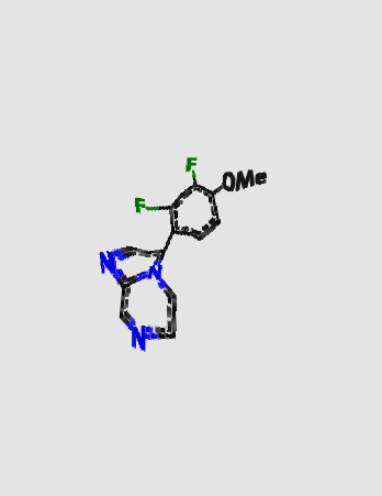 COc1ccc(-c2cnc3cnccn23)c(F)c1F